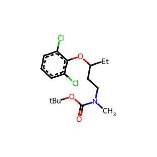 CCC(CCN(C)C(=O)OC(C)(C)C)Oc1c(Cl)cccc1Cl